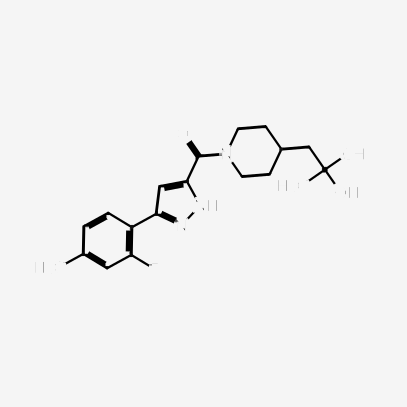 Cc1ccc(-c2cc(C(=O)N3CCC(CC(C)(C)O)CC3)[nH]n2)c(F)c1